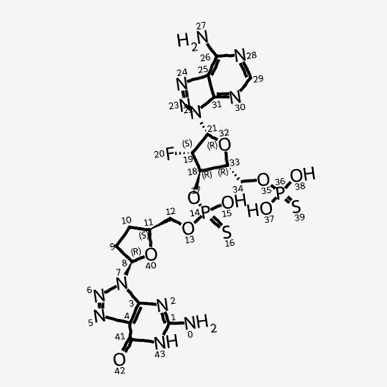 Nc1nc2c(nnn2[C@H]2CC[C@@H](COP(O)(=S)O[C@H]3[C@H](F)[C@H](n4nnc5c(N)ncnc54)O[C@@H]3COP(O)(O)=S)O2)c(=O)[nH]1